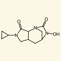 O=C1C2C(CC3CN2C(=O)N3O)CN1C1CC1